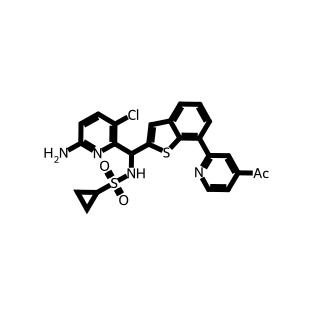 CC(=O)c1ccnc(-c2cccc3cc(C(NS(=O)(=O)C4CC4)c4nc(N)ccc4Cl)sc23)c1